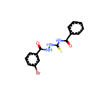 O=C(NNC(=S)NC(=O)c1ccccc1)c1cccc(Br)c1